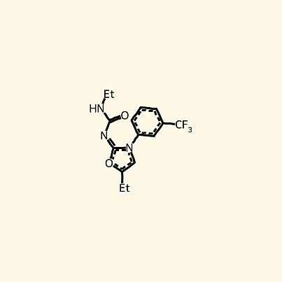 CCNC(=O)/N=c1/oc(CC)cn1-c1cccc(C(F)(F)F)c1